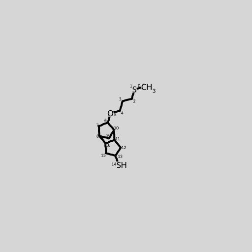 CSCCCOC1CC2CC1C1CC(S)CC21